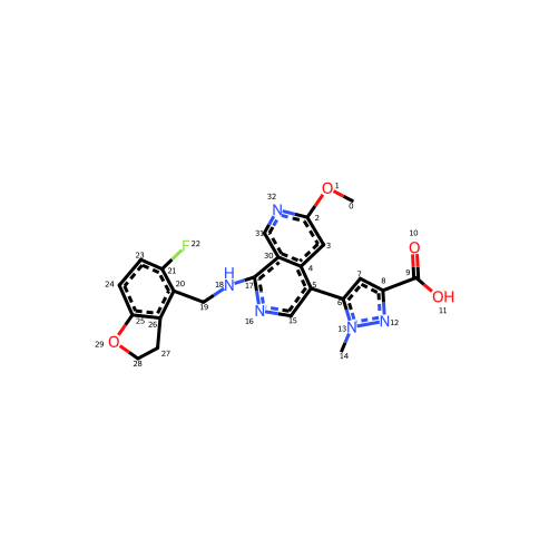 COc1cc2c(-c3cc(C(=O)O)nn3C)cnc(NCc3c(F)ccc4c3CCO4)c2cn1